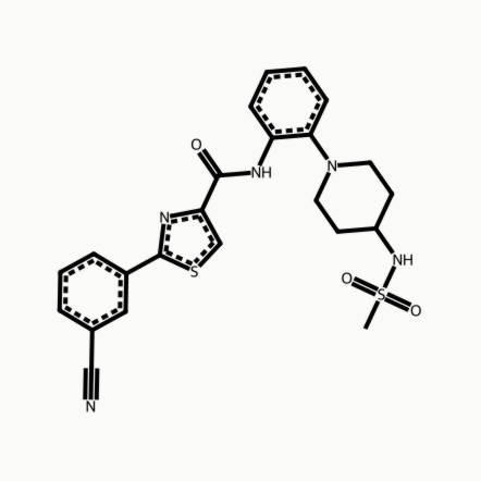 CS(=O)(=O)NC1CCN(c2ccccc2NC(=O)c2csc(-c3cccc(C#N)c3)n2)CC1